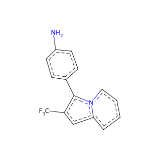 Nc1ccc(-c2c(C(F)(F)F)cc3ccccn23)cc1